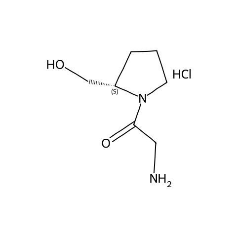 Cl.NCC(=O)N1CCC[C@H]1CO